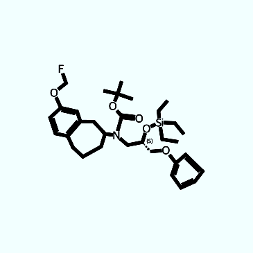 CC[Si](CC)(CC)O[C@H](COc1ccccc1)CN(C(=O)OC(C)(C)C)C1CCCc2ccc(OCF)cc2C1